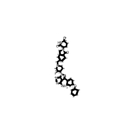 Nc1ncnc2c1c(-c1ccc(Oc3ccccc3)cc1)nn2[C@@H]1CCN(Cc2ccc3c(c2)CN(C2CCC(=O)NC2=O)C3=O)C[C@@H]1F